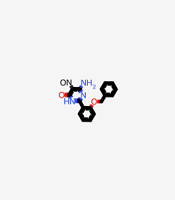 Nc1nc(-c2ccccc2OCc2ccccc2)[nH]c(=O)c1N=O